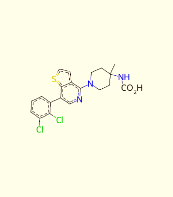 CC1(NC(=O)O)CCN(c2ncc(-c3cccc(Cl)c3Cl)c3sccc23)CC1